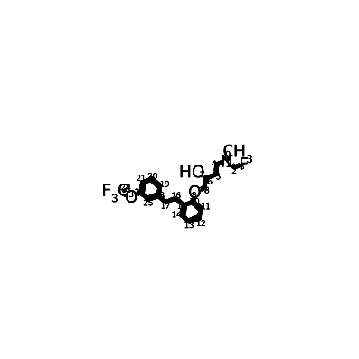 CN(CF)CC[C@H](O)COc1ccccc1CCc1cccc(OC(F)(F)F)c1